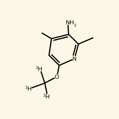 [2H]C([2H])([2H])Oc1cc(C)c(N)c(C)n1